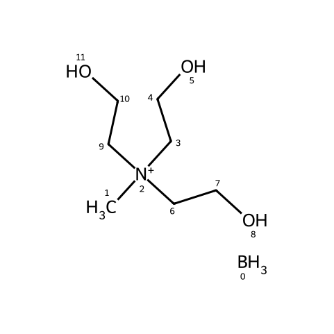 B.C[N+](CCO)(CCO)CCO